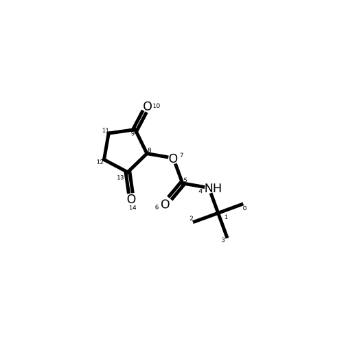 CC(C)(C)NC(=O)OC1C(=O)CCC1=O